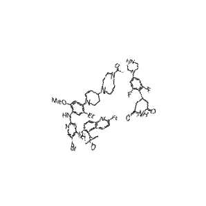 CCc1ccc2c(P(C)(C)=O)c(Nc3nc(Nc4cc(CC)c(N5CCC(N6CCN(C(=O)C[C@@H]7CNCCN7c7cc(F)c(C8CC(=O)NC(=O)C8)c(F)c7)CC6)CC5)cc4OC)ncc3Br)ccc2n1